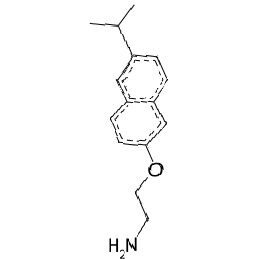 CC(C)c1ccc2cc(OCCN)ccc2c1